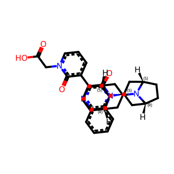 O=C(O)Cn1cccc(-c2nc3ccccc3n([C@@H]3C[C@H]4CC[C@@H](C3)N4C3C[C@H]4CCC[C@@H](C3)C4)c2=O)c1=O